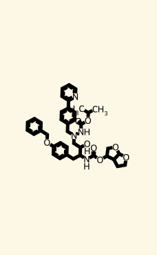 CC(C)OC(=O)NN(Cc1ccc(-c2ccccn2)cc1)CC(O)C(Cc1ccc(OCc2ccccc2)cc1)NC(=O)OC1COC2OCCC12